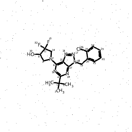 CC(C)(C)c1nc(N2CC(O)C(F)(F)C2)c2nnn(Cc3ccccc3Cl)c2n1